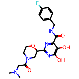 CN(C)CC(=O)N1CCOC(c2nc(O)c(O)c(C(=O)NCc3ccc(F)cc3)n2)C1